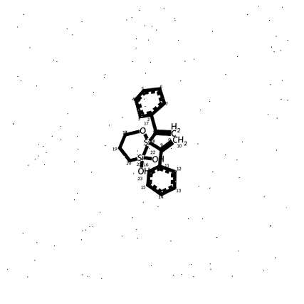 C=C(c1ccccc1)[Si]1(C(=C)c2ccccc2)OCCC[Si]1(O)O